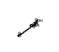 CC(C)(C)OC(=O)CCCCCCCCCCCc1cccc(S(=O)(=O)Nc2ncc(C(=O)O)cn2)c1